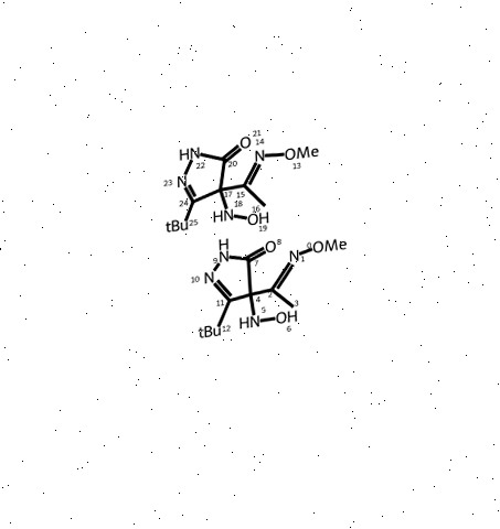 CON=C(C)C1(NO)C(=O)NN=C1C(C)(C)C.CON=C(C)C1(NO)C(=O)NN=C1C(C)(C)C